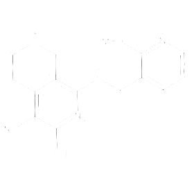 COc1ncccc1CSc1nc(O)c(C#N)c2c1COCC2